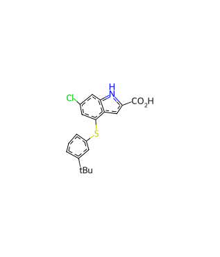 CC(C)(C)c1cccc(Sc2cc(Cl)cc3[nH]c(C(=O)O)cc23)c1